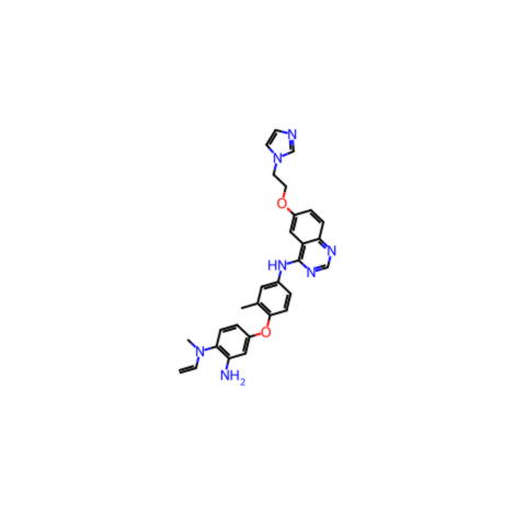 C=CN(C)c1ccc(Oc2ccc(Nc3ncnc4ccc(OCCn5ccnc5)cc34)cc2C)cc1N